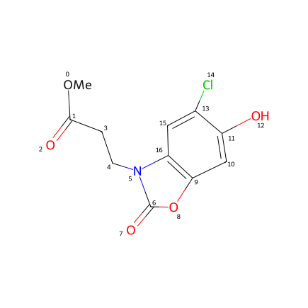 COC(=O)CCn1c(=O)oc2cc(O)c(Cl)cc21